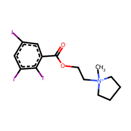 C[N+]1(CCOC(=O)c2cc(I)cc(I)c2I)CCCC1